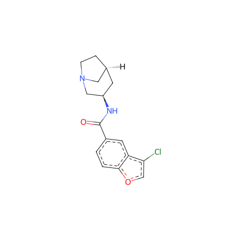 O=C(N[C@@H]1C[C@@H]2CCN(C2)C1)c1ccc2occ(Cl)c2c1